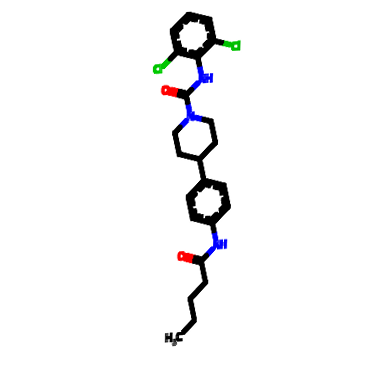 CCCCC(=O)Nc1ccc(C2CCN(C(=O)Nc3c(Cl)cccc3Cl)CC2)cc1